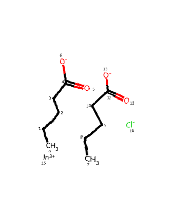 CCCCC(=O)[O-].CCCCC(=O)[O-].[Cl-].[In+3]